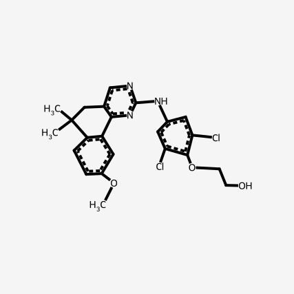 COc1ccc2c(c1)-c1nc(Nc3cc(Cl)c(OCCO)c(Cl)c3)ncc1CC2(C)C